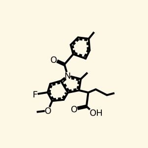 CCCC(C(=O)O)c1c(C)n(C(=O)c2ccc(C)cc2)c2cc(F)c(OC)cc12